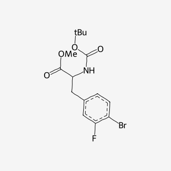 COC(=O)C(Cc1ccc(Br)c(F)c1)NC(=O)OC(C)(C)C